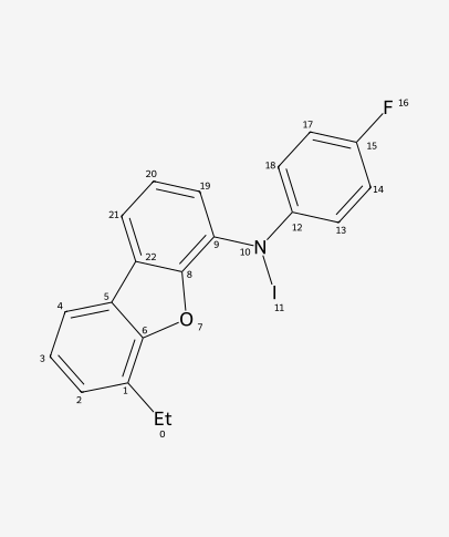 CCc1cccc2c1oc1c(N(I)c3ccc(F)cc3)cccc12